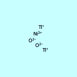 [Ni+2].[O-2].[O-2].[Tl+].[Tl+]